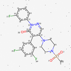 CC(C)S(=O)(=O)N1CCN(c2cnn(-c3cccc(F)c3)c(=O)c2-c2cc(F)cc(F)c2)CC1